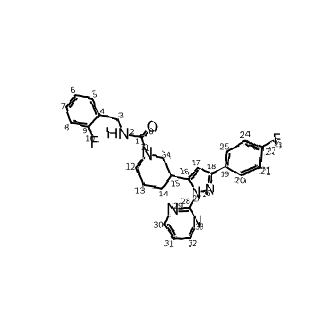 O=C(NCc1ccccc1F)N1CCCC(c2cc(-c3ccc(F)cc3)nn2-c2ncccn2)C1